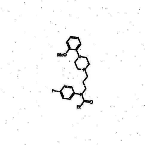 CCC(=O)N(CCCN1CCN(c2ccccc2OC)CC1)c1ccc(F)cc1